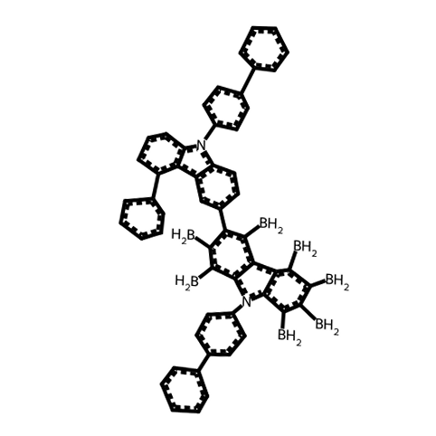 Bc1c(B)c(B)c2c(c1B)c1c(B)c(-c3ccc4c(c3)c3c(-c5ccccc5)cccc3n4-c3ccc(-c4ccccc4)cc3)c(B)c(B)c1n2-c1ccc(-c2ccccc2)cc1